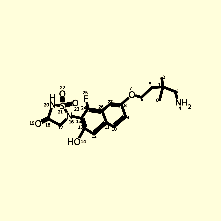 CC(C)(CN)CCOc1ccc2cc(O)c(N3CC(=O)NS3(=O)=O)c(F)c2c1